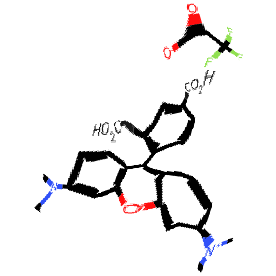 CN(C)c1ccc2c(-c3ccc(C(=O)O)cc3C(=O)O)c3ccc(=[N+](C)C)cc-3oc2c1.O=C([O-])C(F)(F)F